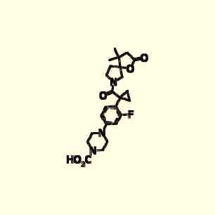 CC1(C)CC(=O)OC12CCN(C(=O)C1(c3ccc(N4CCN(C(=O)O)CC4)cc3F)CC1)C2